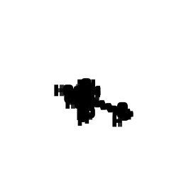 CC(=O)N[C@H]1[C@H]([C@H](OC(=O)NCCCCCCNC(=O)OC(C)(C)C)[C@H](O)COC(=O)C(F)(F)F)OC(C(=O)O)=C[C@@H]1N